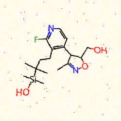 CC1=NOC(CO)C1c1ccnc(F)c1CCC(C)(C)[Si](C)(C)O